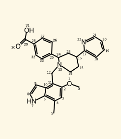 COc1cc(C)c2[nH]ccc2c1CN1CCC(c2ccccn2)CC1c1ccc(C(=O)O)cc1